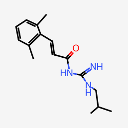 Cc1cccc(C)c1C=CC(=O)NC(=N)NCC(C)C